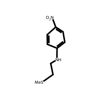 CSCCNc1ccc([N+](=O)[O-])cc1